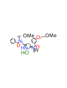 COCCCOc1cc(C(=O)N(C(C)C)[C@@H]2CC[C@H](CCN(C(=O)c3ccccc3)C3CC3)NC2)ccc1OC.Cl